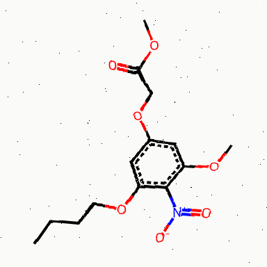 CCCCOc1cc(OCC(=O)OC)cc(OC)c1[N+](=O)[O-]